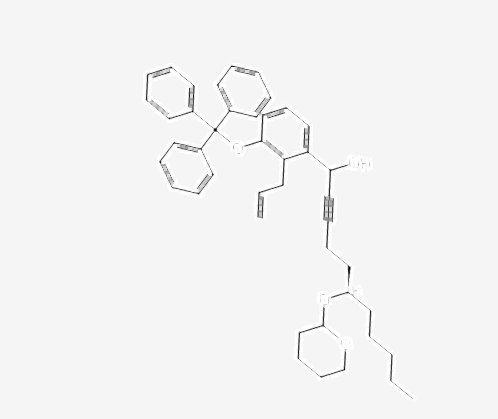 C=CCc1c(OC(c2ccccc2)(c2ccccc2)c2ccccc2)cccc1C(O)C#CCC[C@@H](CCCCC)OC1CCCCO1